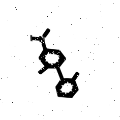 Cc1ccccc1-c1ccc(N(C)I)cc1C